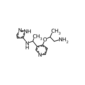 CC(CN)Oc1ccncc1C(C)Nc1ccn[nH]1